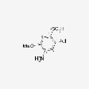 COc1cc(S(=O)(=O)O)c(Cl)cc1N